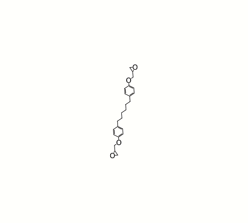 c1cc(OCC2CO2)ccc1CCCCCCc1ccc(OCC2CO2)cc1